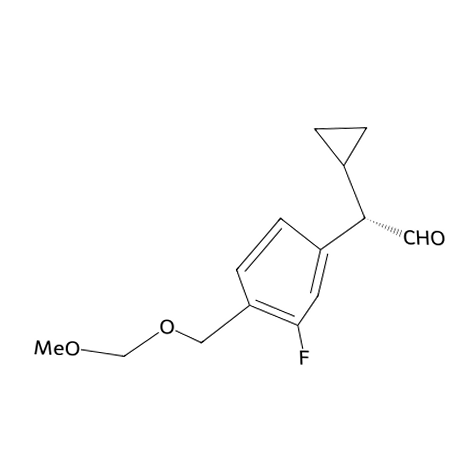 COCOCc1ccc([C@@H](C=O)C2CC2)cc1F